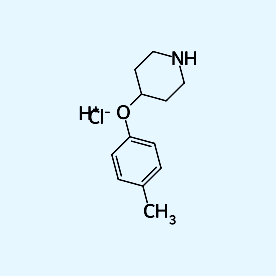 Cc1ccc(OC2CCNCC2)cc1.[Cl-].[H+]